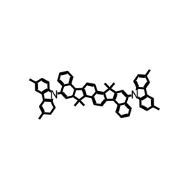 CC1=Cc2c(n(C3=CC4C(c5ccccc53)c3ccc5c6c(ccc5c3C4(C)C)-c3c(cc(-n4c5ccc(C)cc5c5cc(C)ccc54)c4ccccc34)C6(C)C)c3ccc(C)cc23)CC1